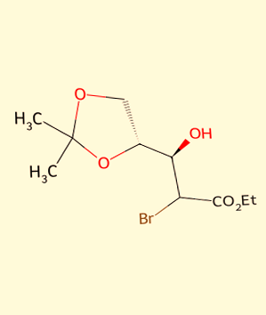 CCOC(=O)C(Br)[C@H](O)[C@H]1COC(C)(C)O1